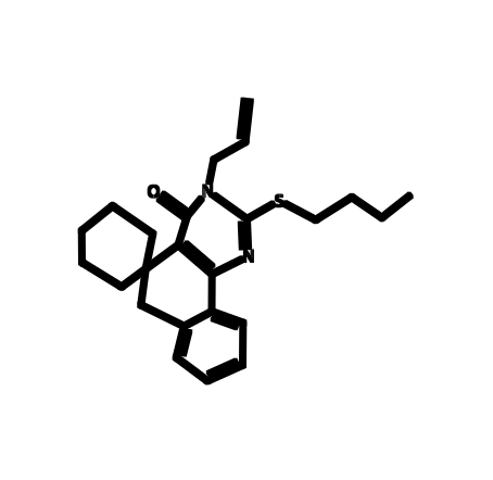 C=CCn1c(SCCCC)nc2c(c1=O)C1(CCCCC1)Cc1ccccc1-2